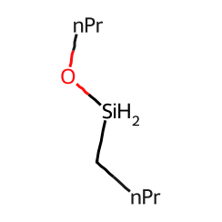 CCCC[SiH2]OCCC